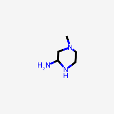 CN1CCNC(N)C1